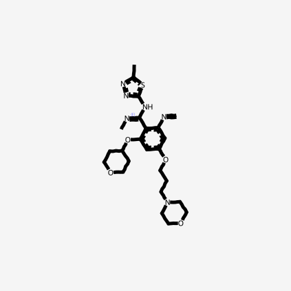 C=Nc1cc(OCCCN2CCOCC2)cc(OC2CCOCC2)c1/C(=N\C)Nc1nnc(C)s1